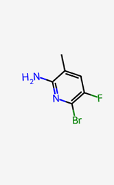 Cc1cc(F)c(Br)nc1N